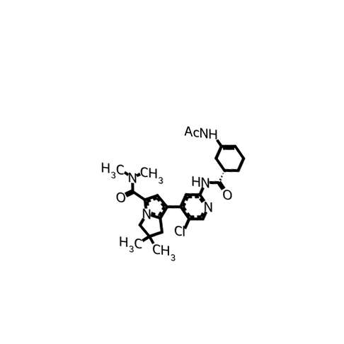 CC(=O)NC1=CCC[C@H](C(=O)Nc2cc(-c3cc(C(=O)N(C)C)n4c3CC(C)(C)C4)c(Cl)cn2)C1